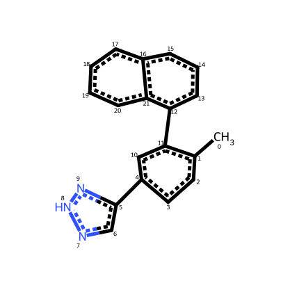 Cc1ccc(-c2cn[nH]n2)cc1-c1cccc2ccccc12